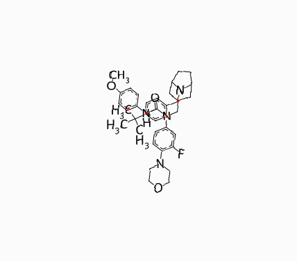 COc1ccc(NC(=O)N(CC2CC3CCC(C2)N3Cc2ccc(C(C)(C)C)cc2)c2ccc(N3CCOCC3)c(F)c2)cc1